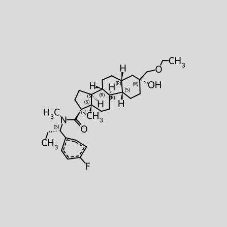 CCOC[C@@]1(O)CC[C@H]2[C@H](CC[C@@H]3[C@@H]2CC[C@]2(C)[C@@H](C(=O)N(C)[C@@H](CC)c4ccc(F)cc4)CC[C@@H]32)C1